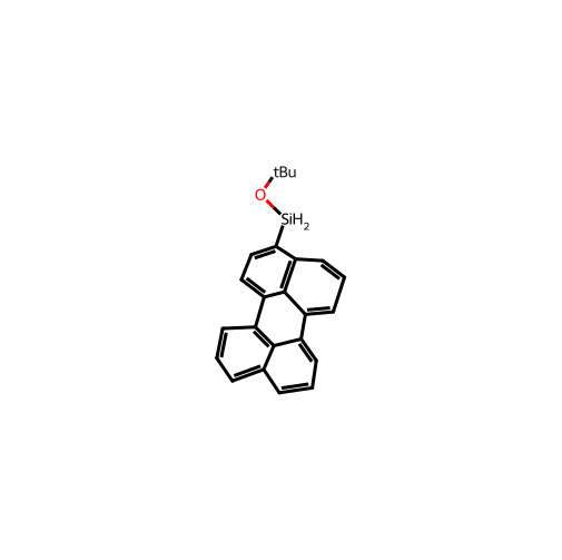 CC(C)(C)O[SiH2]c1ccc2c3cccc4cccc(c5cccc1c52)c43